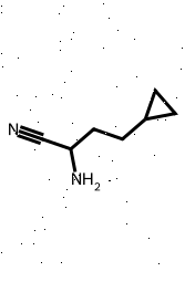 N#CC(N)CCC1CC1